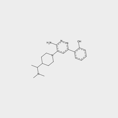 CC(C1CCN(c2cc(-c3ccccc3O)nnc2N)CC1)N(C)C